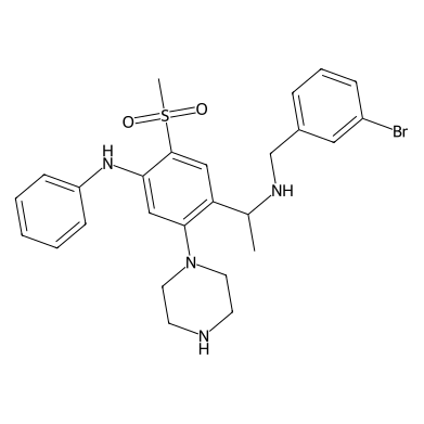 CC(NCc1cccc(Br)c1)c1cc(S(C)(=O)=O)c(Nc2ccccc2)cc1N1CCNCC1